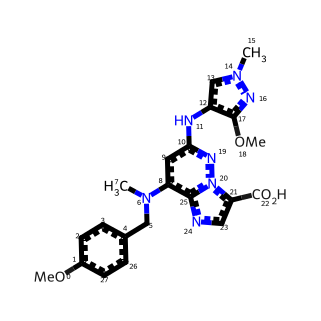 COc1ccc(CN(C)c2cc(Nc3cn(C)nc3OC)nn3c(C(=O)O)cnc23)cc1